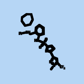 C1CCCCCC1.CC(C)NCc1ccccc1NS(=O)(=O)c1ccc(-c2cc(C(F)(F)F)n(C)n2)s1